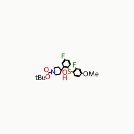 COc1ccc(Sc2ccc(F)cc2C2(O)CCN(C(=O)OC(C)(C)C)CC2)c(F)c1